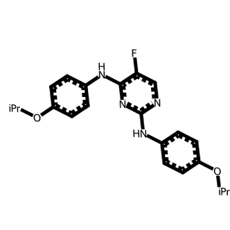 CC(C)Oc1ccc(Nc2ncc(F)c(Nc3ccc(OC(C)C)cc3)n2)cc1